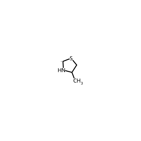 CC1CS[CH]N1